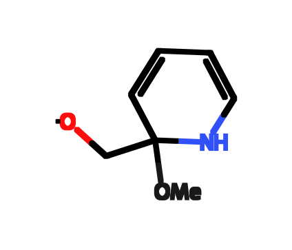 COC1(C[O])C=CC=CN1